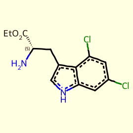 CCOC(=O)[C@@H](N)Cc1c[nH]c2cc(Cl)cc(Cl)c12